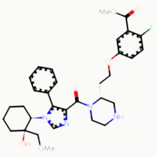 COC[C@]1(O)CCCC[C@H]1n1cnc(C(=O)N2CCNC[C@H]2CCOc2ccc(F)c(C(=O)OC)c2)c1-c1ccccc1